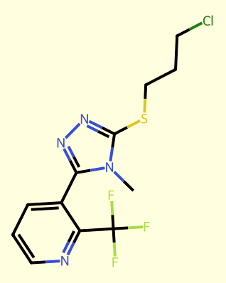 Cn1c(SCCCCl)nnc1-c1cccnc1C(F)(F)F